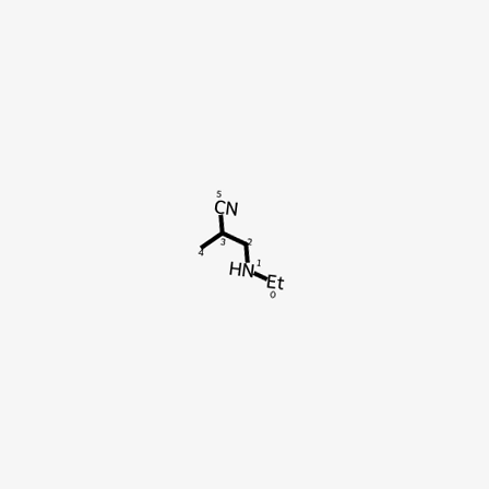 CCNCC(C)C#N